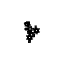 N#Cc1c(C(=O)NC23CCC(CC2)C3)nn(-c2ccc(Cl)cc2Cl)c1Oc1cccc(F)c1